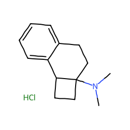 CN(C)C12CCc3ccccc3C1CC2.Cl